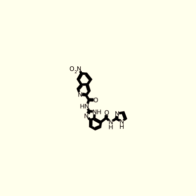 O=C(Nc1nc2cccc(C(=O)Nc3ncc[nH]3)c2[nH]1)c1cc2ccc([N+](=O)[O-])cc2cn1